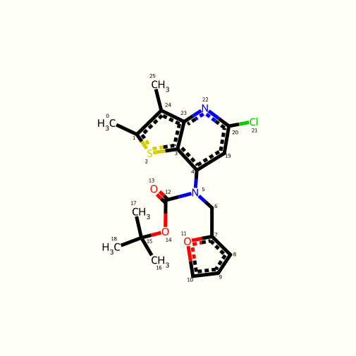 Cc1sc2c(N(Cc3ccco3)C(=O)OC(C)(C)C)cc(Cl)nc2c1C